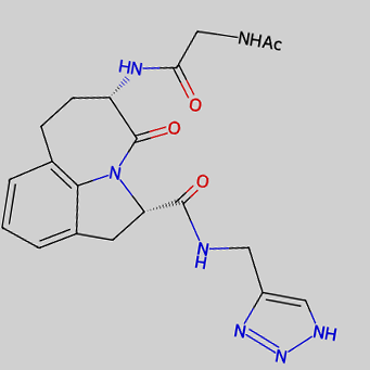 CC(=O)NCC(=O)N[C@H]1CCc2cccc3c2N(C1=O)[C@H](C(=O)NCc1c[nH]nn1)C3